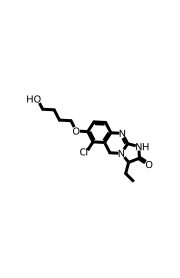 CCC1C(=O)NC2=Nc3ccc(OCCCCO)c(Cl)c3CN21